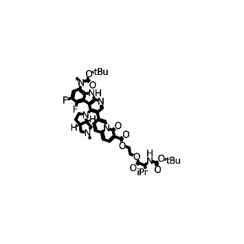 CC(C)C(NC(=O)OC(C)(C)C)C(=O)OCCOC(=O)c1ccc2ccc(-c3cnc4[nH]c5c(N(C)C(=O)OC(C)(C)C)cc(F)c(F)c5c4c3N3CC[C@H]4CN(C)C[C@H]43)cn2c1=O